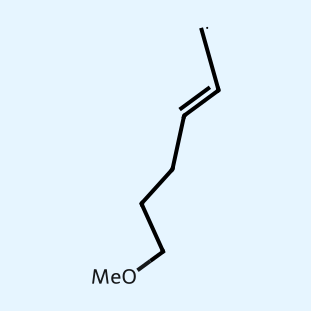 [CH2]/C=C/CCCOC